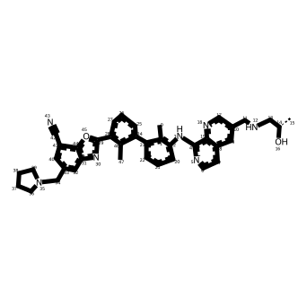 Cc1c(Nc2nccc3cc(CNC[C@H](C)O)cnc23)cccc1-c1cccc(-c2nc3cc(CN4CCCC4)cc(C#N)c3o2)c1C